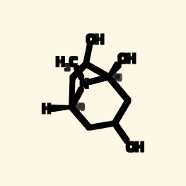 CN1[C@@H]2CC(O)C[C@@]1(O)C(O)C2